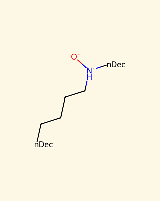 CCCCCCCCCCCCCC[NH+]([O-])CCCCCCCCCC